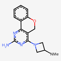 CNC1CN(c2nc(N)nc3c2COc2ccccc2-3)C1